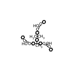 CC(C)(c1ccc(OCC(O)COc2ccccc2)cc1)c1ccc(C(C)(c2ccc(OCC(O)COc3ccccc3)cc2)c2ccc(OCC(O)COc3ccccc3)cc2)cc1